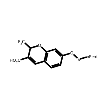 CCCCCSOc1ccc2c(c1)OC(C(F)(F)F)C(C(=O)O)=C2